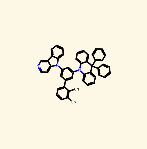 N#Cc1cccc(-c2cc(N3c4ccccc4C(c4ccccc4)(c4ccccc4)c4ccccc43)cc(-n3c4ccccc4c4cnccc43)c2)c1C#N